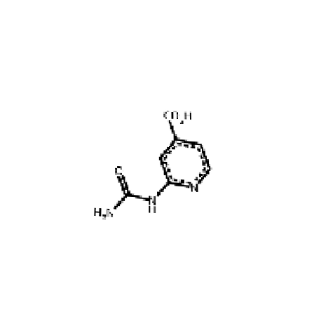 NC(=O)Nc1cc(C(=O)O)ccn1